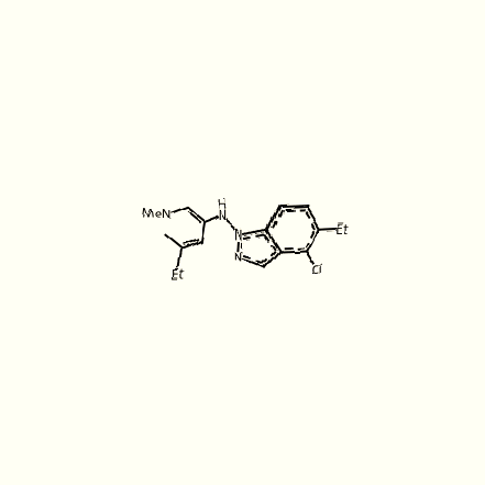 CC/C(C)=C/C(=C\NC)Nn1ncc2c(Cl)c(CC)ccc21